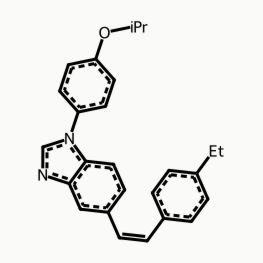 CCc1ccc(/C=C\c2ccc3c(c2)ncn3-c2ccc(OC(C)C)cc2)cc1